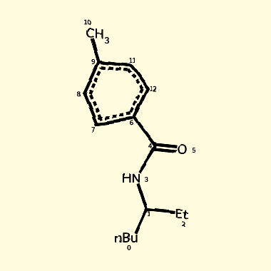 CCCCC(CC)NC(=O)c1ccc(C)cc1